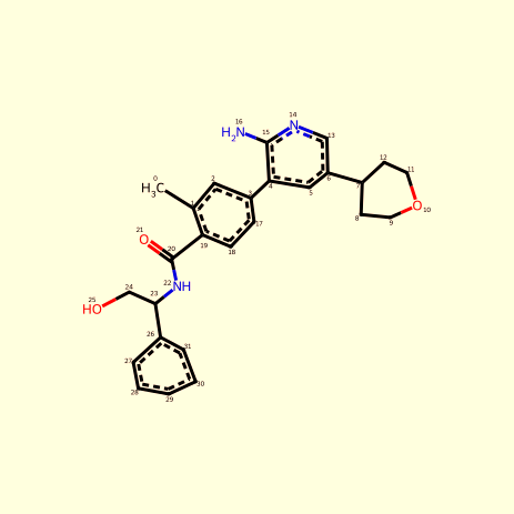 Cc1cc(-c2cc(C3CCOCC3)cnc2N)ccc1C(=O)NC(CO)c1ccccc1